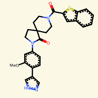 COc1cc(N2CCC3(CCN(C(=O)c4cc5ccccc5s4)CC3)C2=O)ccc1-c1cn[nH]c1